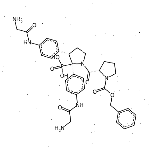 NCC(=O)Nc1ccc([C@@H]2CCN(C(=O)[C@@H]3CCCN3C(=O)OCc3ccccc3)[C@@]2(c2ccc(NC(=O)CN)cc2)P(=O)(O)O)cc1